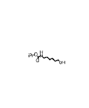 CC(C)OC(=O)NCCCCCCO